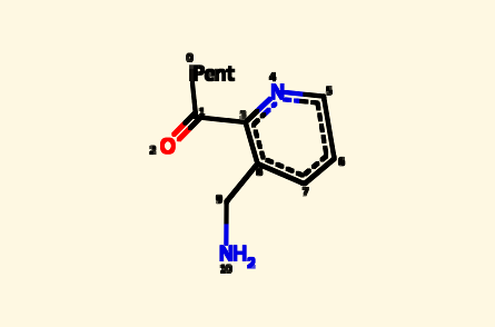 CCCC(C)C(=O)c1ncccc1CN